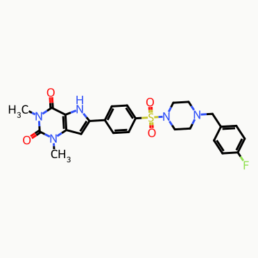 Cn1c(=O)c2[nH]c(-c3ccc(S(=O)(=O)N4CCN(Cc5ccc(F)cc5)CC4)cc3)cc2n(C)c1=O